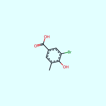 Cc1cc(C(=O)O)cc(Br)c1O